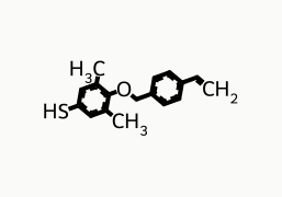 C=Cc1ccc(COc2c(C)cc(S)cc2C)cc1